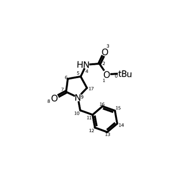 CC(C)(C)OC(=O)NC1CC(=O)N(Cc2ccccc2)C1